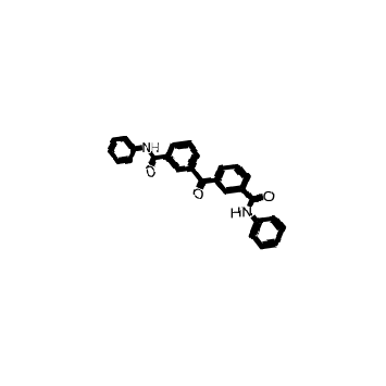 O=C(Nc1ccccc1)c1cccc(C(=O)c2cccc(C(=O)Nc3ccccc3)c2)c1